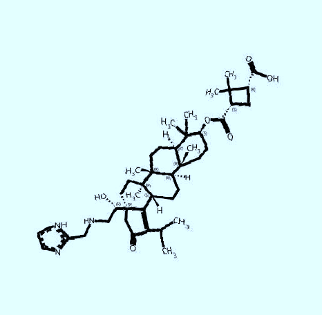 CC(C)C1=C2[C@H]3CC[C@@H]4[C@@]5(C)CC[C@H](OC(=O)[C@H]6C[C@@H](C(=O)O)C6(C)C)C(C)(C)[C@@H]5CC[C@@]4(C)[C@]3(C)CC[C@@]2([C@@H](O)CNCc2ncc[nH]2)CC1=O